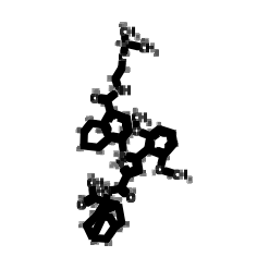 COc1cccc(OC)c1-c1cc(C(=O)NC2(C(=O)O)C3CC4CC(C3)CC2C4)nn1-c1ccc(C(=O)NCCCN(C)C)c2c1CCCC2